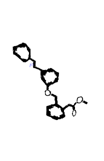 COC(=O)Cc1ccccc1COc1cccc(/C=C/c2ccccc2)c1